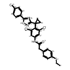 CCSc1ccc(CC(=O)Nc2cc(Cl)c(C3(c4noc(-c5ccc(Cl)cc5)n4)CC3)c(Cl)c2)cc1